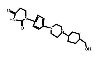 O=C1CCN(c2ccc(N3CCN(C4CCC(CO)CC4)CC3)cc2)C(=O)N1